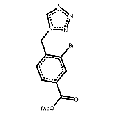 COC(=O)c1ccc(Cn2cnnn2)c(Br)c1